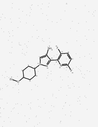 CCOC1CCC(n2cc(N)c(-c3nc(F)ccc3F)n2)CC1